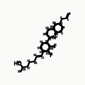 C=CCc1ccc2nc(-c3ccc(C=CCCCC(C)O)c(F)c3F)ccc2c1